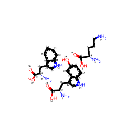 NCCC[C@H](N)C(=O)O.N[C@@H](Cc1c[nH]c2ccc(O)cc12)C(=O)O.N[C@@H](Cc1c[nH]c2ccccc12)C(=O)O